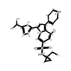 O=S(=O)(NC1(CF)CC1)c1cc(Cl)c2c(C3=CCNCC3)cc(-c3nnc(C(F)F)s3)n2c1